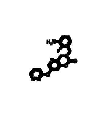 Nc1cccc(CN2Cc3ncc(Oc4cccnn4)cc3OC2=O)c1F